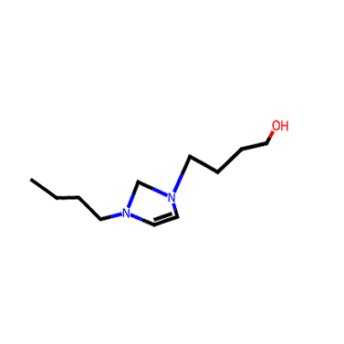 CCCCN1C=CN(CCCCO)C1